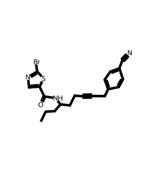 CCCC(CCC#CCc1ccc(C#N)cc1)NC(=O)c1cnc(Br)s1